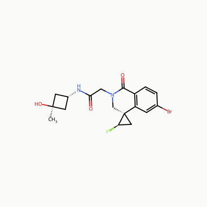 C[C@]1(O)C[C@H](NC(=O)CN2C[C@@]3(C[C@H]3F)c3cc(Br)ccc3C2=O)C1